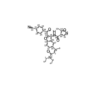 CCN(CC)C(=O)/C=C(/C)c1ccc2oc(C(=O)c3ccc(C#N)cc3)c(NC(=O)c3cnoc3C)c2c1